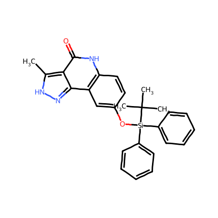 Cc1[nH]nc2c1c(=O)[nH]c1ccc(O[Si](c3ccccc3)(c3ccccc3)C(C)(C)C)cc12